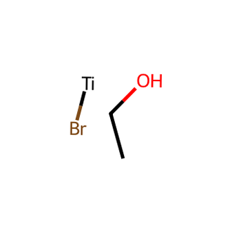 CCO.[Ti][Br]